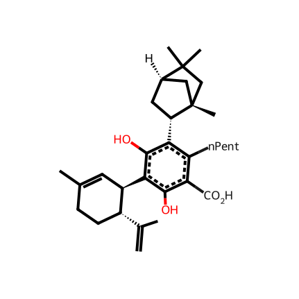 C=C(C)[C@@H]1CCC(C)=C[C@H]1c1c(O)c(C(=O)O)c(CCCCC)c([C@@H]2C[C@@H]3C[C@]2(C)CC3(C)C)c1O